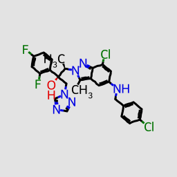 Cc1c2cc(NCc3ccc(Cl)cc3)cc(Cl)c2nn1[C@H](C)[C@](O)(Cn1cncn1)c1ccc(F)cc1F